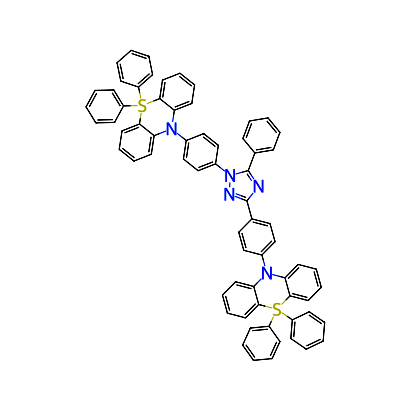 c1ccc(-c2nc(-c3ccc(N4c5ccccc5S(c5ccccc5)(c5ccccc5)c5ccccc54)cc3)nn2-c2ccc(N3c4ccccc4S(c4ccccc4)(c4ccccc4)c4ccccc43)cc2)cc1